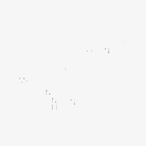 COc1cccc(Cl)c1-c1n[nH]c2ncc(-c3cccc(C(=O)N4CCOCC4)c3)cc12